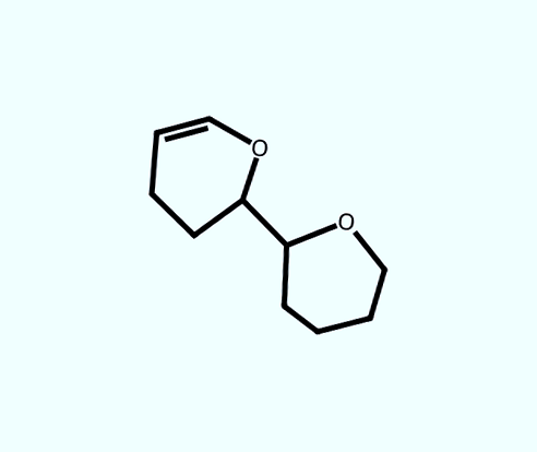 C1=COC(C2CCCCO2)CC1